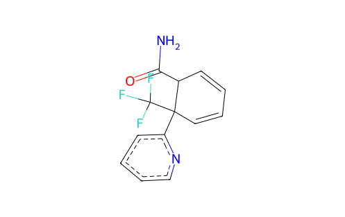 NC(=O)C1C=CC=CC1(c1ccccn1)C(F)(F)F